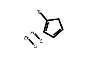 CCCl.CCCl.[Ti][C]1=CC=CC1